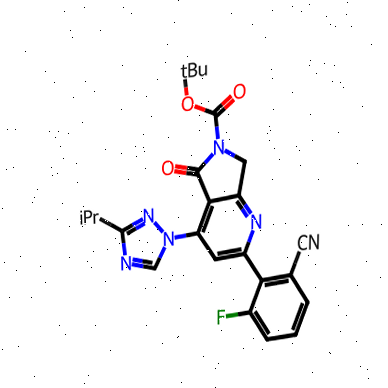 CC(C)c1ncn(-c2cc(-c3c(F)cccc3C#N)nc3c2C(=O)N(C(=O)OC(C)(C)C)C3)n1